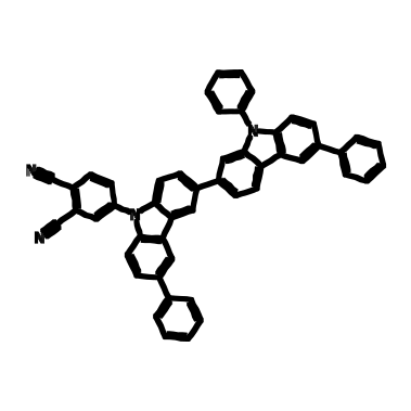 N#Cc1ccc(-n2c3ccc(-c4ccccc4)cc3c3cc(-c4ccc5c6cc(-c7ccccc7)ccc6n(-c6ccccc6)c5c4)ccc32)cc1C#N